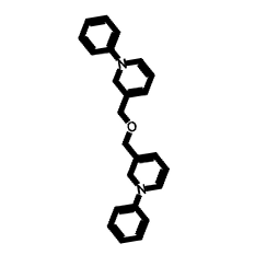 C1=CN(c2ccccc2)CC(COCC2=CC=CN(c3ccccc3)C2)=C1